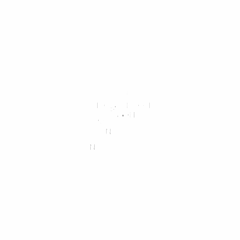 N#CNOP(=O)(O)OP(=O)(O)O